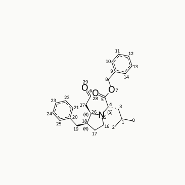 CC(C)C[C@@H](C(=O)OCc1ccccc1)N1CC[C@@H](Cc2ccccc2)[C@H]1CC=O